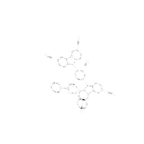 N#Cc1ccc2c(c1)c1cc(C#N)ccc1n2-c1cc(-c2cc(-c3ccccc3)nc(-c3ccccc3)n2)c(-n2c3ccc(C#N)cc3c3cc(C#N)ccc32)cc1C#N